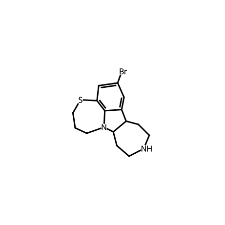 Brc1cc2c3c(c1)C1CCNCCC1N3CCCS2